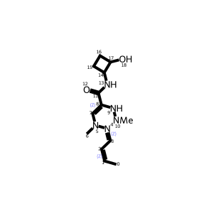 C/C=C\C=N/N(C)/C=C(\NNC)C(=O)NC1CCC1O